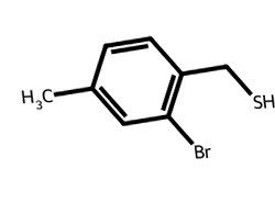 Cc1ccc(CS)c(Br)c1